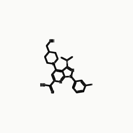 Cc1cccc(-n2nc(C(C)C)c3c(N4CCC(CO)CC4)cc(C(=O)O)nc32)c1